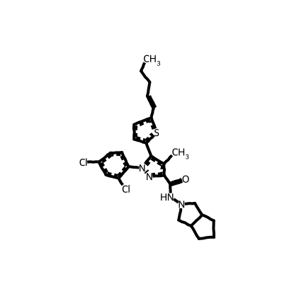 CCC/C=C/c1ccc(-c2c(C)c(C(=O)NN3CC4CCCC4C3)nn2-c2ccc(Cl)cc2Cl)s1